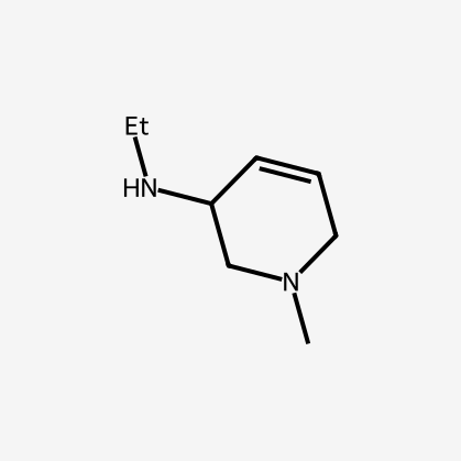 CCNC1C=CCN(C)C1